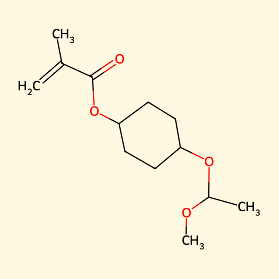 C=C(C)C(=O)OC1CCC(OC(C)OC)CC1